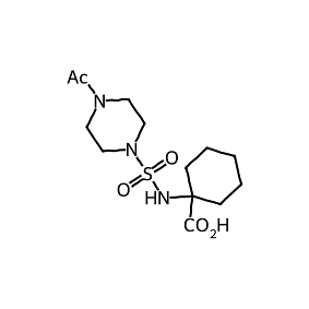 CC(=O)N1CCN(S(=O)(=O)NC2(C(=O)O)CCCCC2)CC1